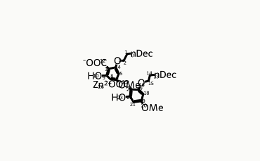 CCCCCCCCCCCCOc1cc(OC)cc(O)c1C(=O)[O-].CCCCCCCCCCCCOc1cc(OC)cc(O)c1C(=O)[O-].[Zn+2]